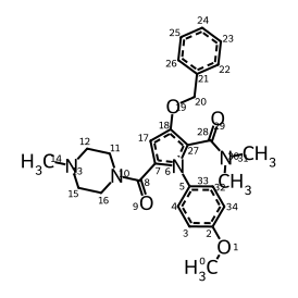 COc1ccc(-n2c(C(=O)N3CCN(C)CC3)cc(OCc3ccccc3)c2C(=O)N(C)C)cc1